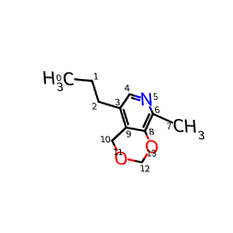 CCCc1cnc(C)c2c1COCO2